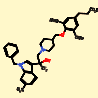 CCOC(=O)CCc1cc(OC)c(OCC2CCN(CC(O)(c3cn(Cc4ccccc4)c4cc([N+](=O)[O-])ccc34)C(F)(F)F)CC2)c(OC)c1